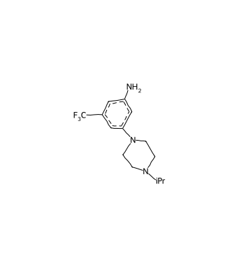 CC(C)N1CCN(c2cc(N)cc(C(F)(F)F)c2)CC1